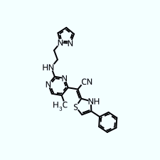 Cc1cnc(NCCn2cccn2)nc1C(C#N)=C1NC(c2ccccc2)=CS1